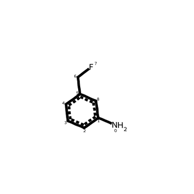 Nc1cccc(CF)c1